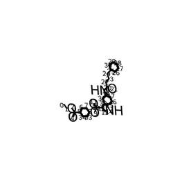 CCOC(=O)c1ccc(OC(=O)c2c[nH]c3ccc(NC(=O)CCCc4ccccc4)cc23)cc1